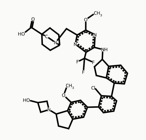 COc1cc(-c2cccc(-c3cccc4c3CCC4Nc3nc(OC)c(CN4CC5(C(=O)O)CCC4CC5)nc3C(F)(F)F)c2Cl)cc2c1C(N1CC(O)C1)CC2